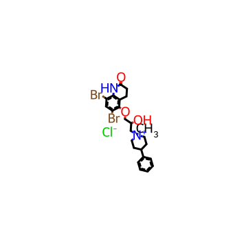 C[N+]1(CC(O)COc2c(Br)cc(Br)c3c2CCC(=O)N3)CCC(c2ccccc2)CC1.[Cl-]